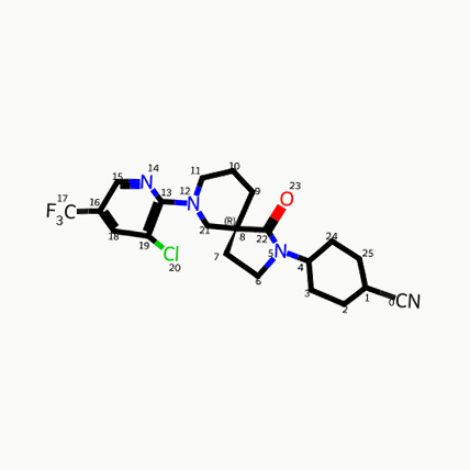 N#CC1CCC(N2CC[C@@]3(CCCN(c4ncc(C(F)(F)F)cc4Cl)C3)C2=O)CC1